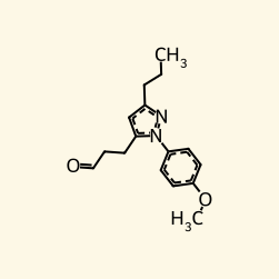 CCCc1cc(CCC=O)n(-c2ccc(OC)cc2)n1